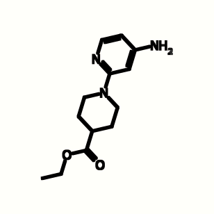 CCOC(=O)C1CCN(c2cc(N)ccn2)CC1